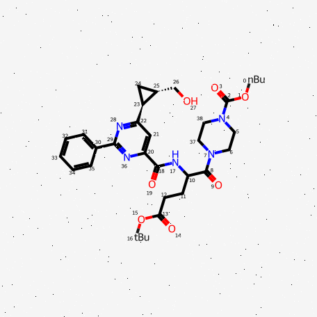 CCCCOC(=O)N1CCN(C(=O)C(CCC(=O)OC(C)(C)C)NC(=O)c2cc([C@H]3C[C@@H]3CO)nc(-c3ccccc3)n2)CC1